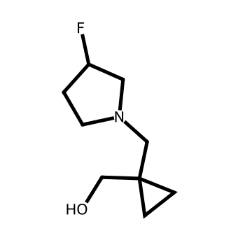 OCC1(CN2CCC(F)C2)CC1